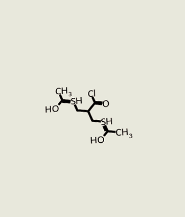 CC(O)=[SH]CC(C[SH]=C(C)O)C(=O)Cl